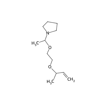 C=CC(C)OCCOC(C)N1CCCC1